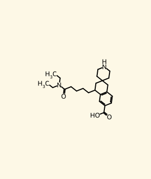 CCN(CC)C(=O)CCCCC1CC2(CCNCC2)Cc2ccc(C(=O)O)cc21